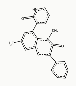 Cc1cc(-c2ccc[nH]c2=O)c2c(c1)cc(-c1ccccc1)c(=O)n2C